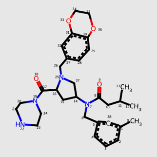 Cc1cccc(CN(C(=O)CC(C)C)C2CC(C(=O)N3CCNCC3)N(Cc3ccc4c(c3)OCCO4)C2)c1